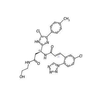 Cc1ccc(-c2nc([C@H](CC(=O)NCCO)NC(=O)/C=C/c3cc(Cl)ccc3-n3cnnn3)[nH]c2Cl)cc1